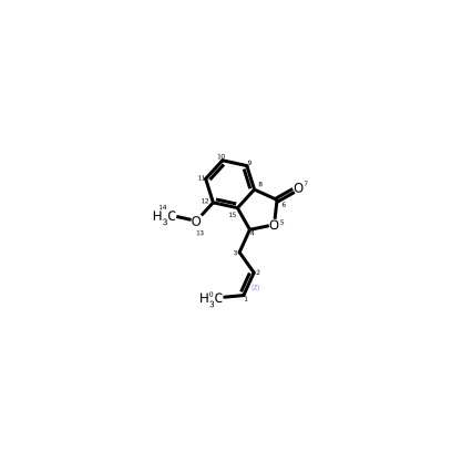 C/C=C\CC1OC(=O)c2cccc(OC)c21